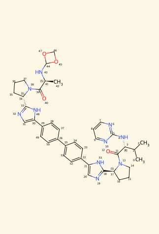 CC(C)[C@@H](Nc1ncccn1)C(=O)N1CCC[C@H]1c1ncc(-c2ccc(-c3ccc(-c4cnc([C@@H]5CCCN5C(=O)[C@H](C)NC5OCO5)[nH]4)cc3)cc2)[nH]1